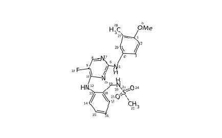 COc1ccc(Nc2ncc(F)c(Nc3ccccc3CNS(C)(=O)=O)n2)cc1C